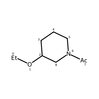 CCOC1CCCN(C(C)=O)C1